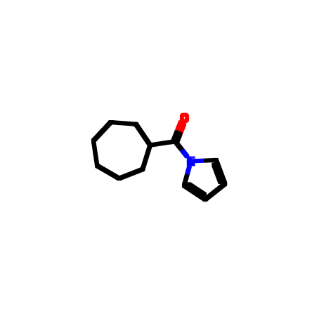 O=C(C1CCCCCC1)n1cccc1